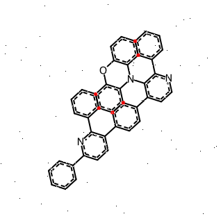 c1ccc(-c2ccc(-c3ccc(-c4ccnc(-c5ccccc5)c4N4c5ccccc5Oc5ccccc54)cc3)c(-c3ccccc3)n2)cc1